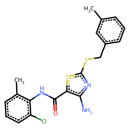 Cc1cccc(CSc2nc(N)c(C(=O)Nc3c(C)cccc3Cl)s2)c1